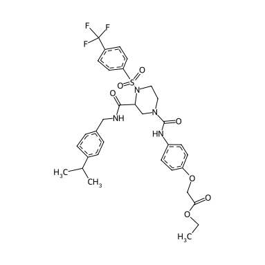 CCOC(=O)COc1ccc(NC(=O)N2CCN(S(=O)(=O)c3ccc(C(F)(F)F)cc3)C(C(=O)NCc3ccc(C(C)C)cc3)C2)cc1